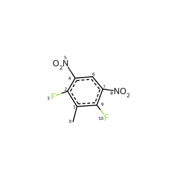 Cc1c(F)c([N+](=O)[O-])cc([N+](=O)[O-])c1F